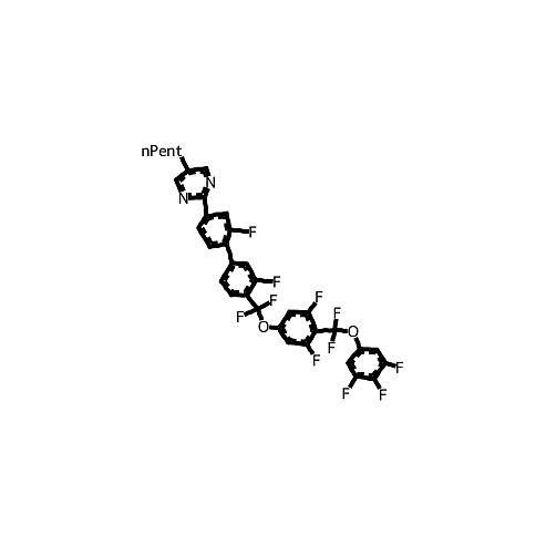 CCCCCc1cnc(-c2ccc(-c3ccc(C(F)(F)Oc4cc(F)c(C(F)(F)Oc5cc(F)c(F)c(F)c5)c(F)c4)c(F)c3)c(F)c2)nc1